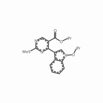 CSc1ncc(C(=O)OC(C)C)c(-c2cn(OC(C)C)c3ccccc23)n1